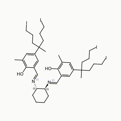 Cc1cc(C(C)(CCCI)CCCI)cc(/C=N/[C@H]2CCCC[C@@H]2/N=C/c2cc(C(C)(CCCI)CCCI)cc(C)c2O)c1O